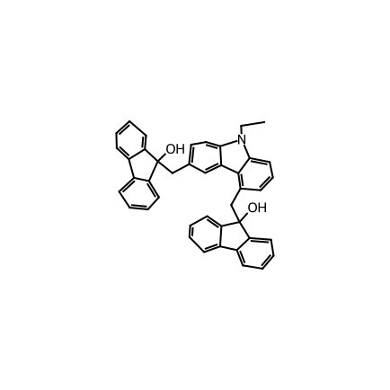 CCn1c2ccc(CC3(O)c4ccccc4-c4ccccc43)cc2c2c(CC3(O)c4ccccc4-c4ccccc43)cccc21